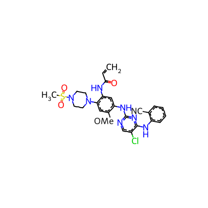 C=CC(=O)Nc1cc(Nc2ncc(Cl)c(Nc3ccccc3C#N)n2)c(OC)cc1N1CCN(S(C)(=O)=O)CC1